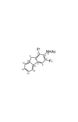 CC(=O)Nc1c(F)cc2c(c1F)Cc1ccccc1-2